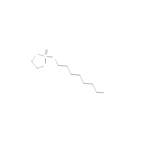 CCCCCCCCOP1(=O)NCCO1